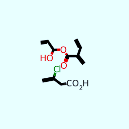 C=C(Cl)CC(=O)O.C=CC(=C)C(=O)OC(O)C=C